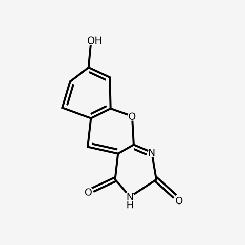 O=c1nc2oc3cc(O)ccc3cc-2c(=O)[nH]1